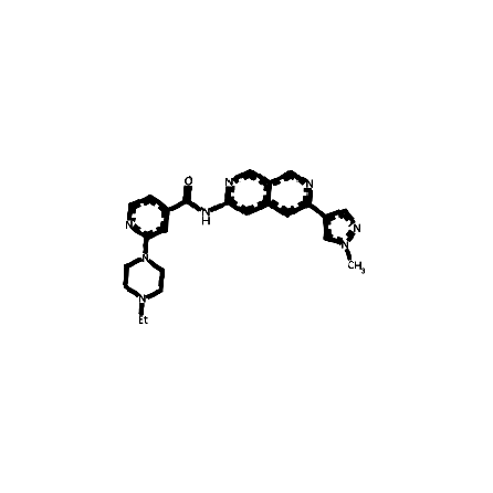 CCN1CCN(c2cc(C(=O)Nc3cc4cc(-c5cnn(C)c5)ncc4cn3)ccn2)CC1